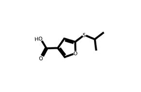 CC(C)Sc1cc(C(=O)O)co1